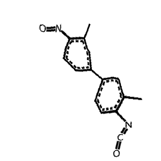 Cc1cc(-c2ccc(N=C=O)c(C)c2)ccc1N=O